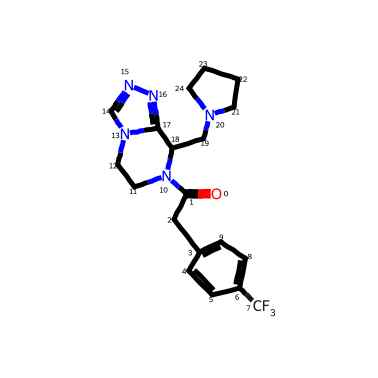 O=C(Cc1ccc(C(F)(F)F)cc1)N1CCn2cnnc2C1CN1CCCC1